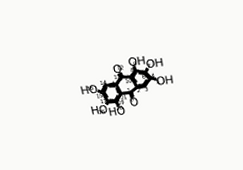 O=C1c2cc(O)c(O)c(O)c2C(=O)c2cc(O)c(O)c(O)c21